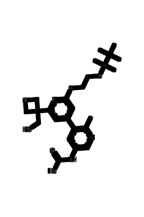 Cc1ncc(NC(=O)O)cc1-c1cc(OCCO[Si](C)(C)C(C)(C)C)nc(C2(CO)COC2)c1